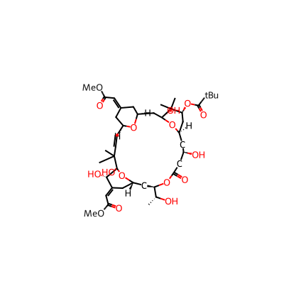 COC(=O)/C=C1/C[C@H]2C[C@]3(O)O[C@H](C[C@@H](O)CC(=O)O[C@@H]([C@@H](C)O)C[C@@H]4C/C(=C\C(=O)OC)[C@H](O)[C@@](O)(O4)C(C)(C)/C=C/[C@@H](C1)O2)C[C@H](OC(=O)C(C)(C)C)C3(C)C